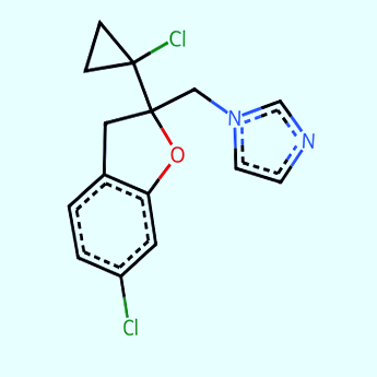 Clc1ccc2c(c1)OC(Cn1ccnc1)(C1(Cl)CC1)C2